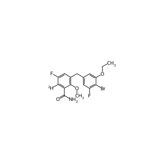 [2H]c1c(F)cc(Cc2cc(F)c(Br)c(OCC)c2)c(OC)c1C(N)=O